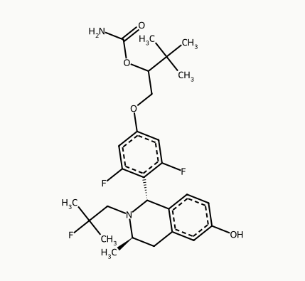 C[C@@H]1Cc2cc(O)ccc2[C@@H](c2c(F)cc(OCC(OC(N)=O)C(C)(C)C)cc2F)N1CC(C)(C)F